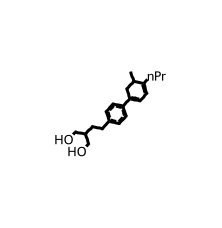 CCCC1=CC=C(c2ccc(CCC(CO)CO)cc2)CC1C